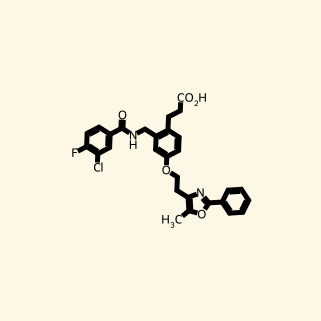 Cc1oc(-c2ccccc2)nc1CCOc1ccc(CCC(=O)O)c(CNC(=O)c2ccc(F)c(Cl)c2)c1